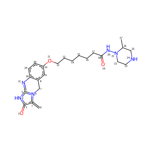 C=c1c(=O)[nH]c2n1Cc1cc(OCCCCCCC(=O)NN3CCNCC3C)ccc1N=2